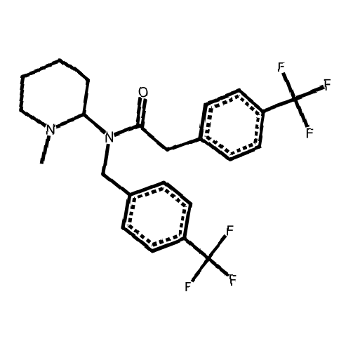 CN1CCCCC1N(Cc1ccc(C(F)(F)F)cc1)C(=O)Cc1ccc(C(F)(F)F)cc1